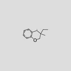 CCC1(C)[CH]c2ccccc2OC1